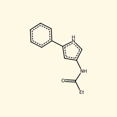 CCC(=O)Nc1c[nH]c(-c2ccccc2)c1